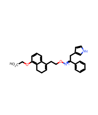 O=C(O)COc1cccc2c1CCC=C2CCO/N=C(\Cc1cc[nH]c1)c1ccccc1